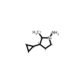 CC1C(C2CC2)CCN1N